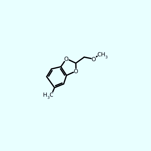 COCC1Oc2ccc(C)cc2O1